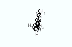 Cc1cnc(-c2nc3cc4c(cc3o2)[C@]2(C)CCN[C@H](C4)[C@H]2C)cn1